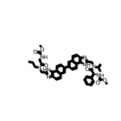 CCCN(Cc1nc2ccc3cc(-c4ccc5c(ccc6nc(CN(C(=O)[C@H](NC(=O)OC)c7ccccc7)C(C)C)[nH]c65)c4)ccc3c2[nH]1)C(=O)CNC(=O)OC